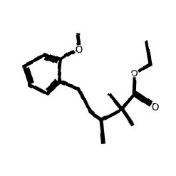 CCOC(=O)C(C)(C)C(C)CCc1ccccc1OC